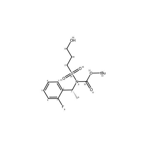 C[C@H](c1ccccc1F)N(C(=O)OC(C)(C)C)S(=O)(=O)CCCO